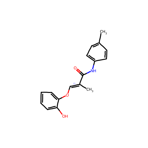 C/C(=C\Oc1ccccc1O)C(=O)Nc1ccc(C)cc1